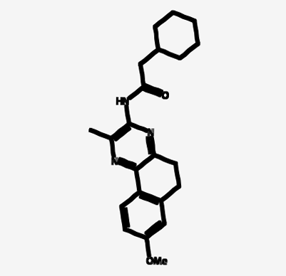 COc1ccc2c(c1)CCc1nc(NC(=O)CC3CCCCC3)c(C)nc1-2